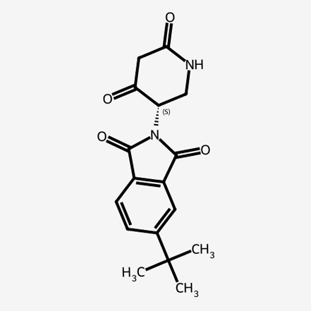 CC(C)(C)c1ccc2c(c1)C(=O)N([C@H]1CNC(=O)CC1=O)C2=O